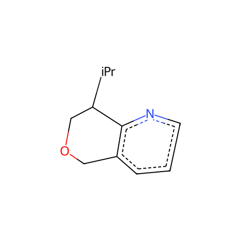 CC(C)C1COCc2cccnc21